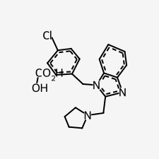 Clc1ccc(Cn2c(CN3CCCC3)nc3ccccc32)cc1.O=C(O)O